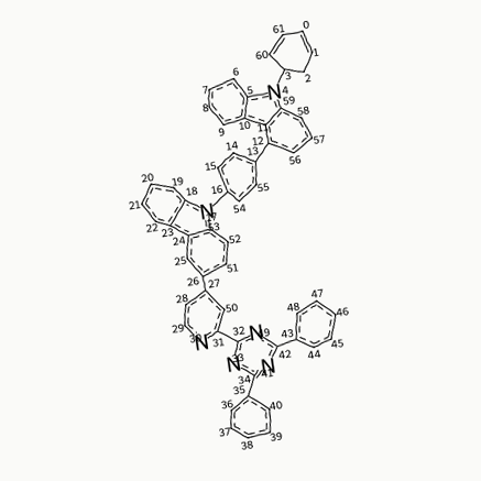 C1=CCC(n2c3ccccc3c3c(-c4ccc(-n5c6ccccc6c6cc(-c7ccnc(-c8nc(-c9ccccc9)nc(-c9ccccc9)n8)c7)ccc65)cc4)cccc32)C=C1